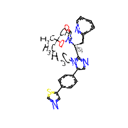 Cn1c(-c2ccc(-c3cncs3)cc2)cnc1[C@H](Cc1ccccn1)N(C=O)OC(C)(C)C